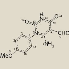 COc1ccc(-n2c(N)c(C=O)c(=O)[nH]c2=O)cc1